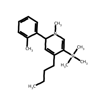 CCCCC1=CC(c2ccccc2C)N(C)C=C1[Si](C)(C)C